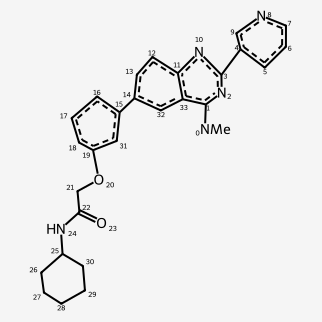 CNc1nc(-c2cccnc2)nc2ccc(-c3cccc(OCC(=O)NC4CCCCC4)c3)cc12